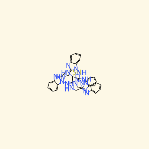 [NH]Cc1nc2ccccc2n1NC1(C2(S)NCc3nc4ccccc4n3NC23NCc2nc4ccccc4n2N3)NCc2nc3ccccc3n2N1